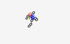 c1ccc(-c2nc(-n3c4ccc(-c5ccc6ccccc6c5)cc4c4c5ccccc5ccc43)nc3c2oc2ccc4ccccc4c23)cc1